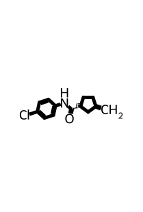 C=C1CC[C@@H](C(=O)Nc2ccc(Cl)cc2)C1